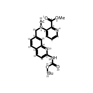 COC(=O)c1ncccc1N(Cc1ccc2ccc(NC(=O)OC(C)(C)C)nc2c1)C(C)=O